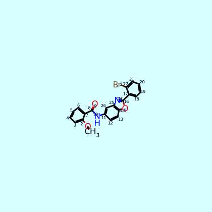 COc1ccccc1C(=O)Nc1ccc2oc(-c3ccccc3Br)nc2c1